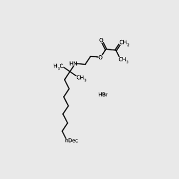 Br.C=C(C)C(=O)OCCNC(C)(C)CCCCCCCCCCCCCCCCC